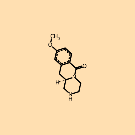 COc1ccc2c(c1)C[C@@H]1CNCCN1C2=O